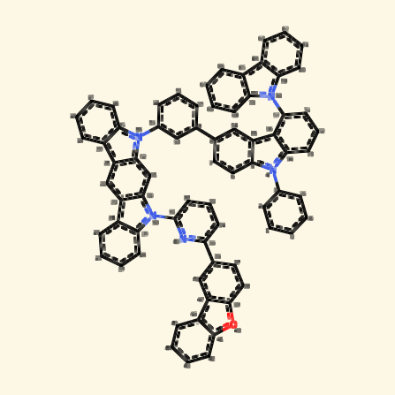 c1ccc(-n2c3ccc(-c4cccc(-n5c6ccccc6c6cc7c8ccccc8n(-c8cccc(-c9ccc%10oc%11ccccc%11c%10c9)n8)c7cc65)c4)cc3c3c(-n4c5ccccc5c5ccccc54)cccc32)cc1